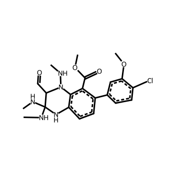 CNN1c2c(ccc(-c3ccc(Cl)c(OC)c3)c2C(=O)OC)NC(NC)(NC)C1C=O